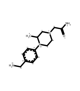 CC1CN(CC(N)=O)CCN1c1ccc(CN)cc1